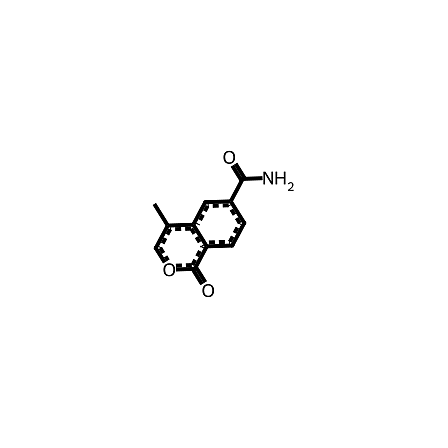 Cc1coc(=O)c2ccc(C(N)=O)cc12